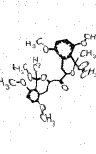 COc1ccc(OC)c2c1CC(C(=O)C1Cc3c(OC)ccc(OC)c3C(C)(OC)O1)OC2(C)OC